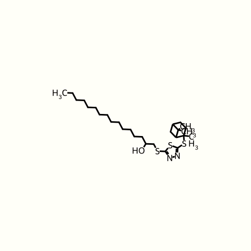 CCCCCCCCCCCCCCC(O)CSc1nnc(SC2(C)CCC3CC2C3(C)C)s1